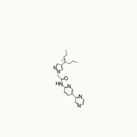 CC/C=C(\CCC)c1cnn(CC(=O)Nc2ccc(-c3cnccn3)cn2)c1